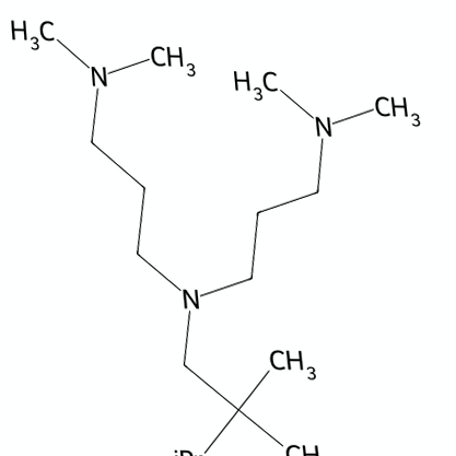 CC(C)C(C)(C)CN(CCCN(C)C)CCCN(C)C